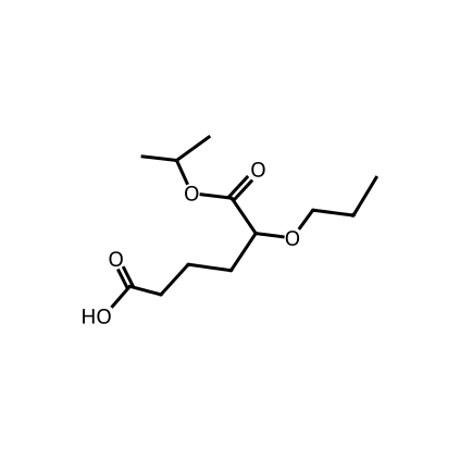 CCCOC(CCCC(=O)O)C(=O)OC(C)C